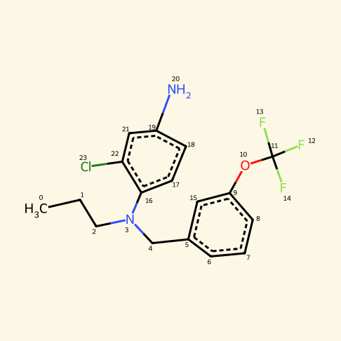 CCCN(Cc1cccc(OC(F)(F)F)c1)c1ccc(N)cc1Cl